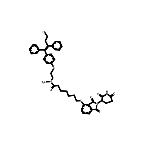 CN(CCOc1ccc(/C(=C(/CCCl)c2ccccc2)c2ccccc2)cc1)C(=O)CCCCCCSc1cccc2c1C(=O)N(C1CCC(=O)NC1=O)C2=O